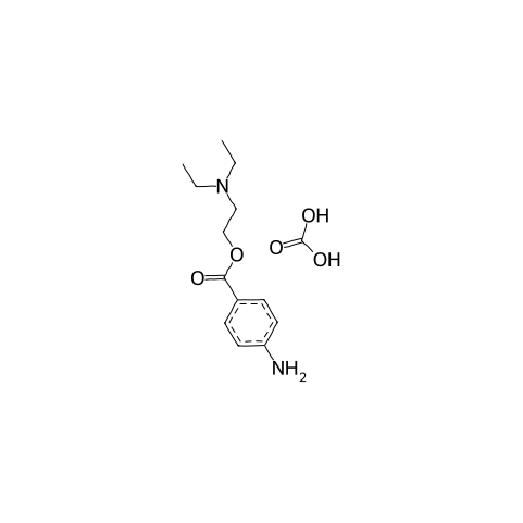 CCN(CC)CCOC(=O)c1ccc(N)cc1.O=C(O)O